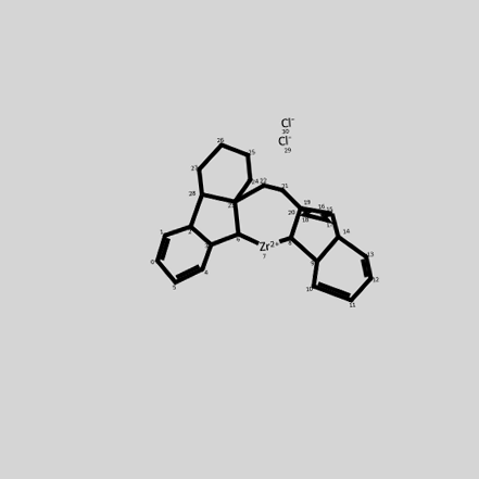 C1=CC2C(C=C1)[CH]1[Zr+2][CH]3C4C=CC=CC4C4CCCCC43CCC13CCCCC23.[Cl-].[Cl-]